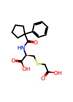 O=C(O)CSC[C@H](NC(=O)C1(c2ccccc2)CCCC1)C(=O)O